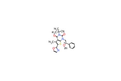 Cc1c(-c2ncco2)sc2c1c(=O)n(C(C)(C)C#N)c(=O)n2C[C@H](OC(C)C)c1ccccc1